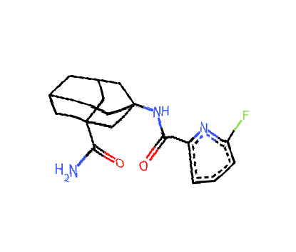 NC(=O)C12CC3CC(CC(NC(=O)c4cccc(F)n4)(C3)C1)C2